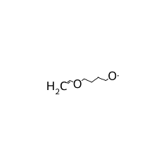 C=COCCCC[O]